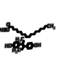 CC/C(=C(/CC)c1ccc(O)cc1)c1ccc(O)cc1.CCCCCCCC/C=C\CCCCCCCC(=O)OO